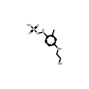 Cc1cc(NCCO)ccc1NOS(=O)(=O)O